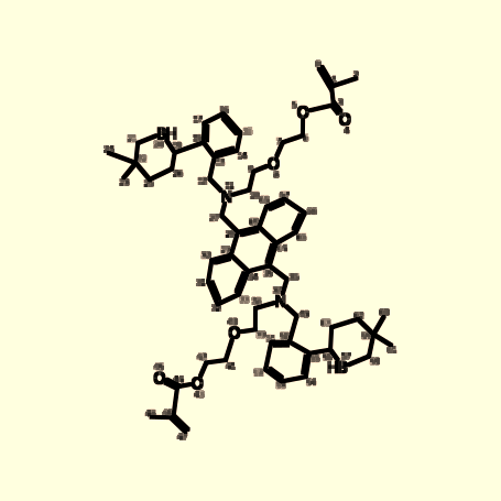 C=C(C)C(=O)OCCOCCN(Cc1ccccc1C1BCC(C)(C)CC1)Cc1c2ccccc2c(CN(CCOCCOC(=O)C(=C)C)Cc2ccccc2C2BCC(C)(C)CC2)c2ccccc12